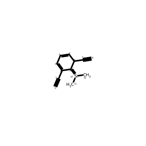 [C]#CC1=CC=CC(C#[C])C1=[Si](C)C